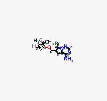 CC(C)(C)[SiH2]OCc1cc2c(N)ncnn2c1Br